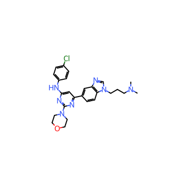 CN(C)CCCn1cnc2cc(-c3cc(Nc4ccc(Cl)cc4)nc(N4CCOCC4)n3)ccc21